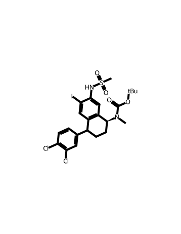 CN(C(=O)OC(C)(C)C)[C@H]1CCC(c2ccc(Cl)c(Cl)c2)c2cc(I)c(NS(C)(=O)=O)cc21